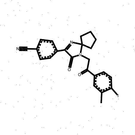 Cc1cc(C(=O)CN2C(=O)C(c3ccc(C#N)cc3)=NC23CCCC3)ccc1I